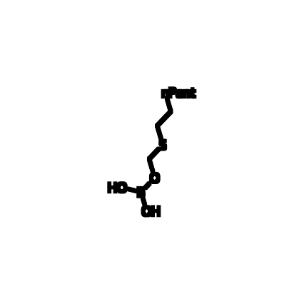 CCCCCCCSCOB(O)O